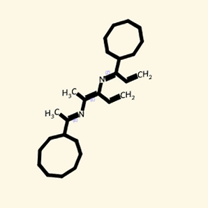 C=C\C(=N/C(C=C)=C(C)/N=C(\C)C1CCCCCCCC1)C1CCCCCCC1